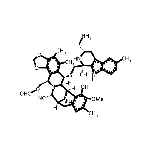 COc1c(C)cc2c(c1O)[C@@H]1[C@@H]3[C@H](SC[C@@]4(C)N[C@H](CN)Cc5c4[nH]c4ccc(C)cc54)c4c(C)c(C)c5c(c4[C@H](COC=O)N3[C@@H](C#N)[C@H](C2)N1C)OCO5